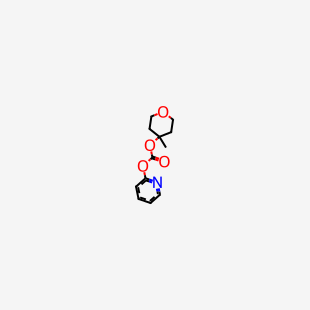 CC1(OC(=O)Oc2ccccn2)CCOCC1